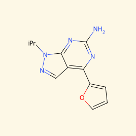 CC(C)n1ncc2c(-c3ccco3)nc(N)nc21